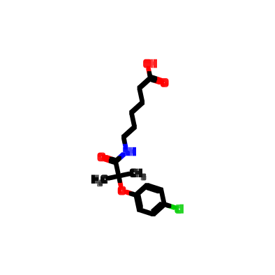 CC(C)(Oc1ccc(Cl)cc1)C(=O)NCCCCCC(=O)O